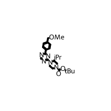 COCc1ccc(-c2ncnc(N3CCN(C(=O)OC(C)(C)C)CC3C(C)C)n2)cc1